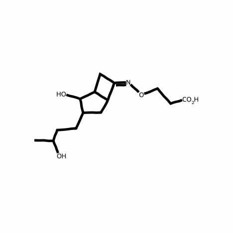 CC(O)CCC1CC2C(=NOCCC(=O)O)CC2C1O